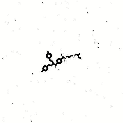 CCC(C)COCCCNC(=O)c1ccc(C(=O)C(CCc2ccc(C)cc2)CCc2ccc(C)cc2)cc1